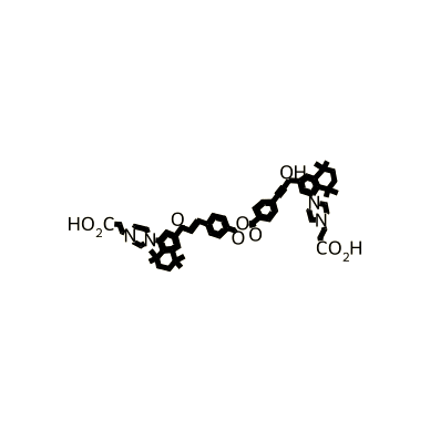 CC1(C)CCC(C)(C)c2c(N3CCN(CCC(=O)O)CC3)cc(C(=O)C=Cc3ccc(C(=O)OC(=O)c4ccc(C#CC(O)c5cc(N6CCN(CCC(=O)O)CC6)c6c(c5)C(C)(C)CCC6(C)C)cc4)cc3)cc21